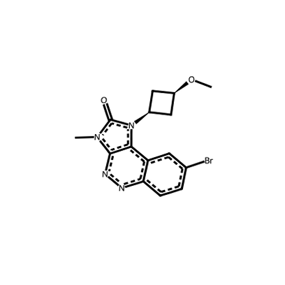 CO[C@H]1C[C@@H](n2c(=O)n(C)c3nnc4ccc(Br)cc4c32)C1